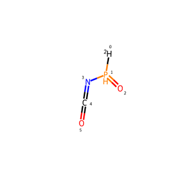 [2H][PH](=O)N=C=O